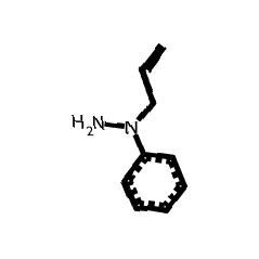 C=CCN(N)c1ccccc1